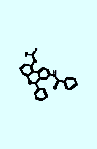 O=C(Nc1ccc2c(c1)C(c1ccccc1)Oc1cccc(OC(F)F)c1-2)c1ccccc1